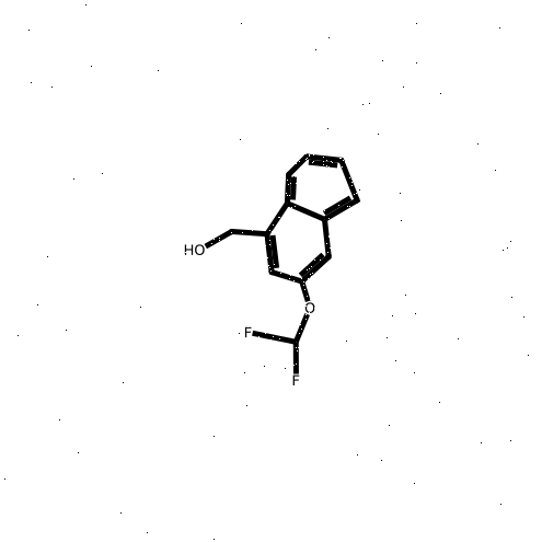 OCc1cc(OC(F)F)cc2ccccc12